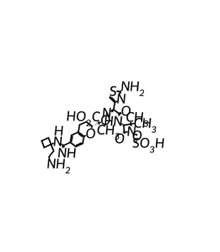 CC(O/N=C(\C(=O)N[C@@H]1C(=O)N(OS(=O)(=O)O)C1(C)C)c1csc(N)n1)(C(=O)O)[C@H]1CCc2cc(C(=N)NC3(CCN)CCC3)ccc2O1